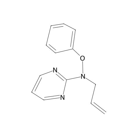 C=CCN(Oc1ccccc1)c1ncccn1